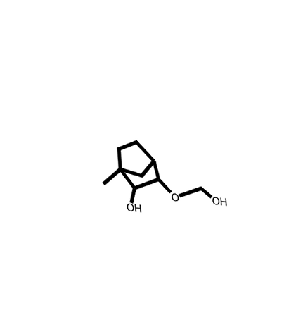 CC12CCC(C1)C(OCO)C2O